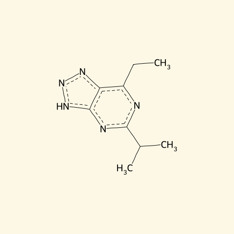 CCc1nc(C(C)C)nc2[nH]nnc12